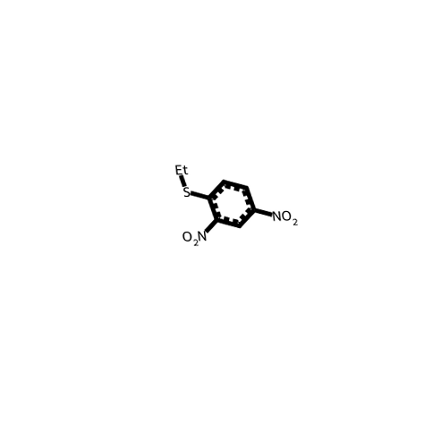 CCSc1ccc([N+](=O)[O-])cc1[N+](=O)[O-]